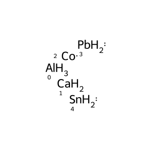 [AlH3].[CaH2].[Co].[PbH2].[SnH2]